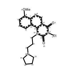 CCn1c(=O)c2cnc3c(OC)cccc3c2n(CCCN2CCCC2)c1=O